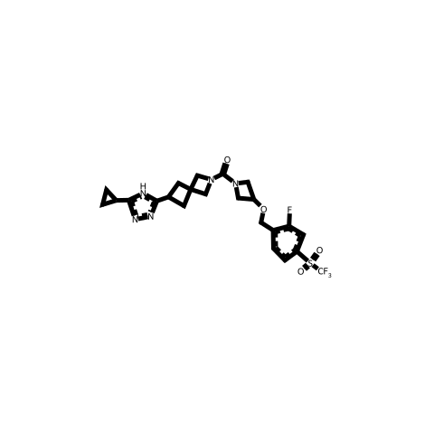 O=C(N1CC(OCc2ccc(S(=O)(=O)C(F)(F)F)cc2F)C1)N1CC2(CC(c3nnc(C4CC4)[nH]3)C2)C1